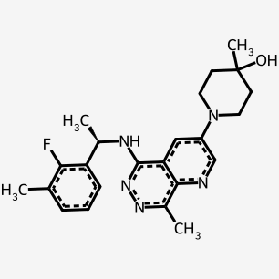 Cc1cccc([C@@H](C)Nc2nnc(C)c3ncc(N4CCC(C)(O)CC4)cc23)c1F